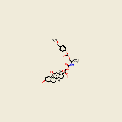 C[C@]12C=CC(=O)C=C1CC[C@H]1[C@@H]3C[C@@H](O)[C@](O)(C(=O)COC(=O)NC(COC(=O)Oc4ccc(CO[N+](=O)[O-])cc4)C(=O)O)[C@@]3(C)C[C@H](O)[C@@]12F